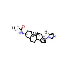 CC(=O)N[C@@H]1CC[C@@]2(C)C(=CCC3C4=CC=C(n5ccnc5)[C@@]4(C)CCC32)C1